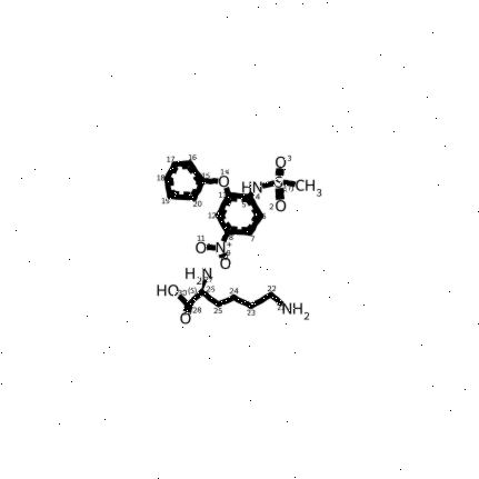 CS(=O)(=O)Nc1ccc([N+](=O)[O-])cc1Oc1ccccc1.NCCCC[C@H](N)C(=O)O